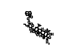 CCCN(CC(=O)NC1C=C(N(C)C)C2=C(C(=O)C3=C[C@@]4(O)C(=O)C(C(N)=O)=C(O)[C@@H](N(C)C)[C@@H]4C[C@@H]3C2)C1(O)O)C(=O)OCOC(=O)C12CC3CC(CC(C3)C1)C2